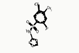 Cc1cc(F)c(S(=O)(=O)Nc2ncns2)cc1Cl